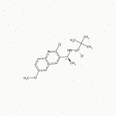 COc1ccc2nc(Cl)c([C@H](C)N[S@@+]([O-])C(C)(C)C)cc2c1